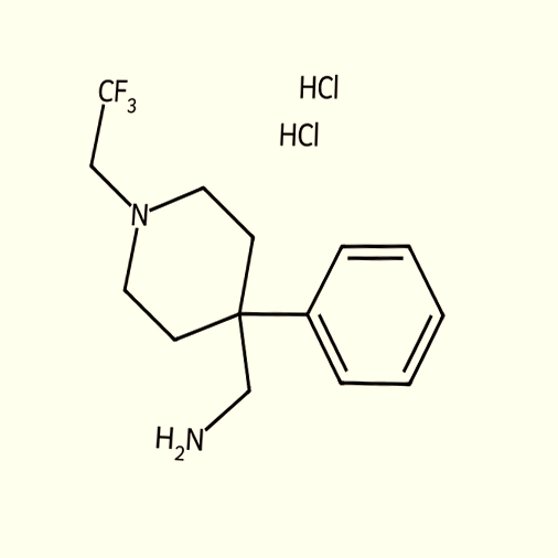 Cl.Cl.NCC1(c2ccccc2)CCN(CC(F)(F)F)CC1